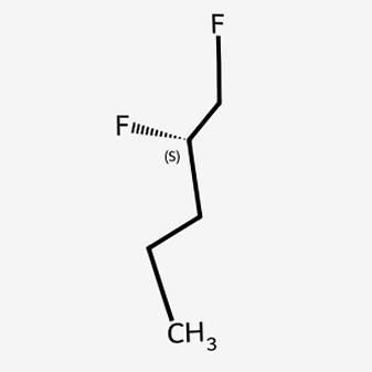 CCC[C@H](F)CF